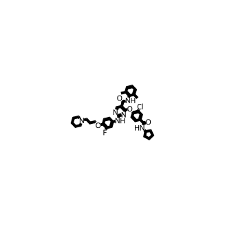 Cc1cccc(C)c1NC(=O)c1cnc(Nc2ccc(OCCCN3CCCCC3)c(F)c2)nc1Oc1ccc(C(=O)NC2CCCC2)cc1Cl